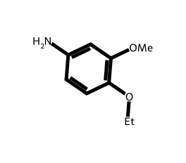 [CH2]COc1ccc(N)cc1OC